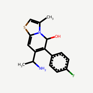 CC1=CSC2=CC(C(C)N)=C(c3ccc(F)cc3)C(O)N12